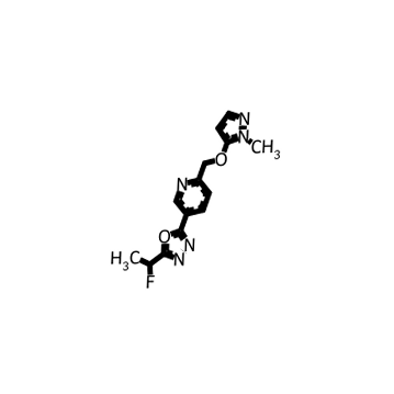 CC(F)c1nnc(-c2ccc(COc3ccnn3C)nc2)o1